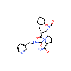 NC(=O)[C@@H]1CCC[N+]1(C(=O)NCCc1cccnc1)C(=O)[C@H](CC1CCCC1)CN(O)C=O